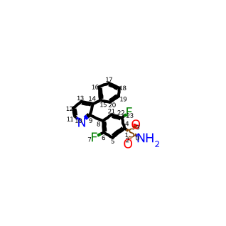 NS(=O)(=O)c1cc(F)c(-c2ncccc2-c2ccccc2)cc1F